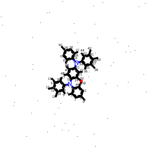 Cc1cc(C)c(N(c2c(C)c(C)c(C)c(C)c2C)c2c(C)c(C)c(N(c3c(C)cc(C)cc3C)c3c(C)c(C)c(C)c(C)c3C)c(C)c2C)c(C)c1